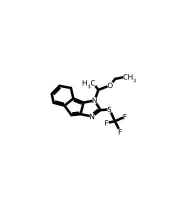 CCOC(C)n1c(SC(F)(F)F)nc2c1=C1CC=CC=C1C=2